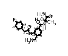 CC(C)(NC(=O)c1ccc(CN)c(NC(=O)Cc2ccc(F)cc2)c1)C(N)=O